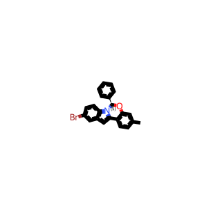 Cc1ccc2c(c1)O[C@@H](c1ccccc1)n1c-2cc2cc(Br)ccc21